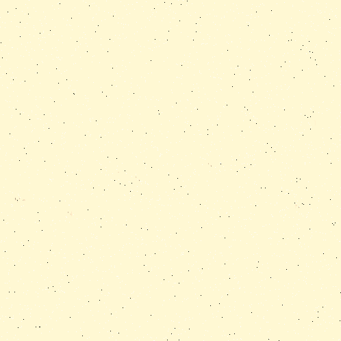 COc1cccc2c(C(=O)NCCCN3CCC(c4c[nH]c5ccc(Cl)cc45)CC3)ccnc12